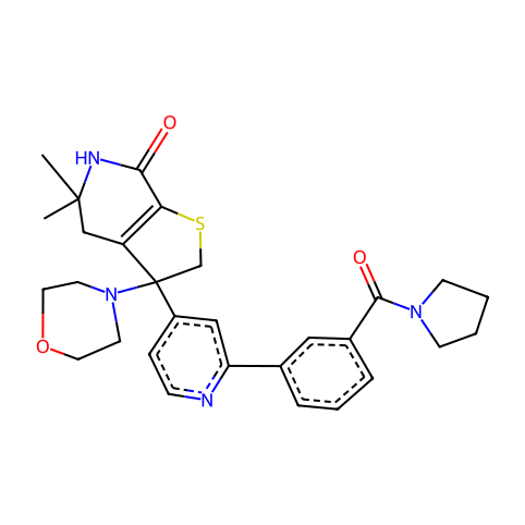 CC1(C)CC2=C(SCC2(c2ccnc(-c3cccc(C(=O)N4CCCC4)c3)c2)N2CCOCC2)C(=O)N1